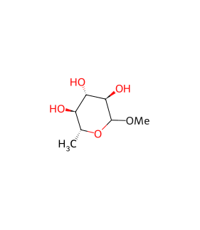 COC1O[C@H](C)[C@@H](O)[C@H](O)[C@H]1O